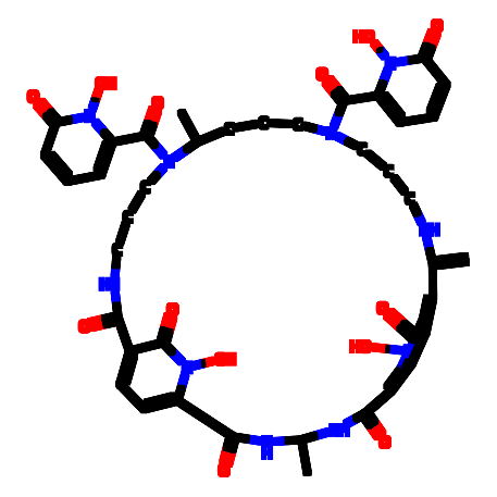 C=C1NCCCN(C(=O)c2cccc(=O)n2O)CCCC(C)N(C(=O)c2cccc(=O)n2O)CCCNC(=O)c2ccc(n(O)c2=O)C(=O)NC(C)NC(=O)c2ccc1c(=O)n2O